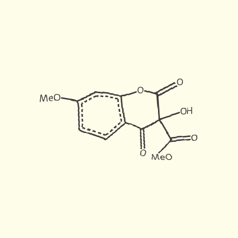 COC(=O)C1(O)C(=O)Oc2cc(OC)ccc2C1=O